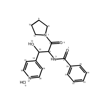 Cl.O=C(NC(C(=O)N1CCCC1)C(O)c1ccncc1)c1ccccc1